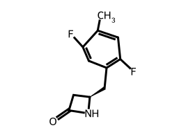 Cc1cc(F)c(C[C@@H]2CC(=O)N2)cc1F